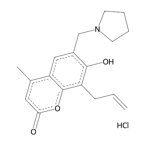 C=CCc1c(O)c(CN2CCCC2)cc2c(C)cc(=O)oc12.Cl